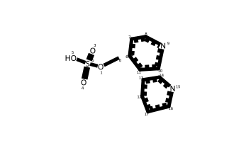 COS(=O)(=O)O.c1ccncc1.c1ccncc1